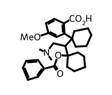 COc1ccc(C(=O)O)c(C2(C(CN(C)C)C3(OC(=O)c4ccccc4)CCCCC3)CCCCC2)c1